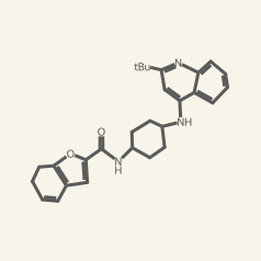 CC(C)(C)c1cc(NC2CCC(NC(=O)c3cc4c(o3)CCC=C4)CC2)c2ccccc2n1